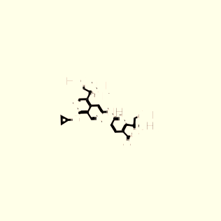 CC[C@@]1(C)OC(=O)c2ccc(Nc3cc4c([C@](C)(N)CC)cnc(OC5CC5)c4cn3)nc21